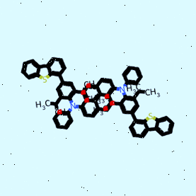 CC(C)c1cc(-c2cccc3c2sc2ccccc23)cc(C(C)C)c1N(c1ccccc1)c1ccc2ccc3c(N(c4ccccc4)c4c(C(C)C)cc(-c5cccc6c5sc5ccccc56)cc4C(C)C)ccc4ccc1c2c43